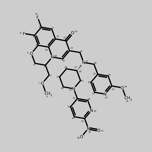 COCC1COc2c(F)c(F)cc3c(=O)c(CN(Cc4ccnc(OC)c4)[C@H]4CCCN(c5ccc([N+](=O)[O-])nc5)C4)cn1c23